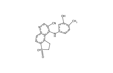 Cc1ccc(Nc2c(C#N)cnc3ccc4c(c23)CCS4(=O)=O)cc1O